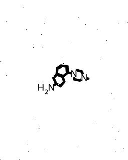 CN1CCN(c2cccc3c2CCC(N)C3)CC1